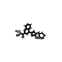 CCN(C)C(=O)c1cc(-c2cn(CC3CCOCC3)c(C(C)(C)C)n2)c2ccccc2n1